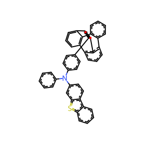 C1=C=C2C3=C(C=1)c1cccc(c1-c1cc(-c4ccc(N(c5ccccc5)c5ccc6c(c5)sc5ccccc56)cc4)ccc12)-c1ccccc13